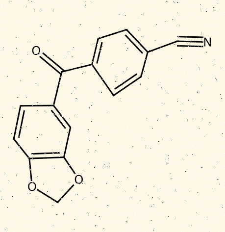 N#Cc1ccc(C(=O)c2ccc3c(c2)OCO3)cc1